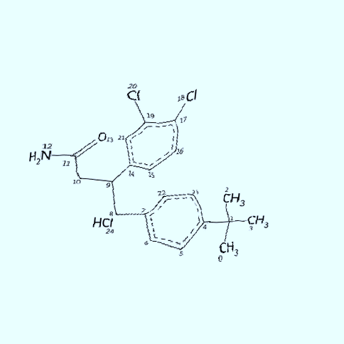 CC(C)(C)c1ccc(CC(CC(N)=O)c2ccc(Cl)c(Cl)c2)cc1.Cl